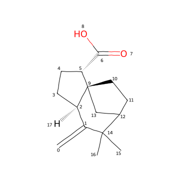 C=C1[C@H]2CC[C@H](C(=O)O)[C@@]23CCC(C3)C1(C)C